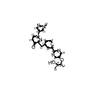 C[C@H](Oc1cnc(-c2cccc(Cc3nn(-c4cnn(C)c4)ccc3=O)c2)nc1)[C@@H](C)O